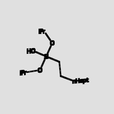 CCCCCCCCC[Si](O)(OC(C)C)OC(C)C